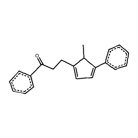 CC1C(CCC(=O)c2ccccc2)=CC=C1c1ccccc1